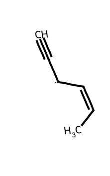 C#C[CH]/C=C\C